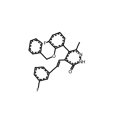 Cc1n[nH]c(=O)c(C=Cc2cccc(F)c2)c1-c1cccc(F)c1OCc1ccccc1